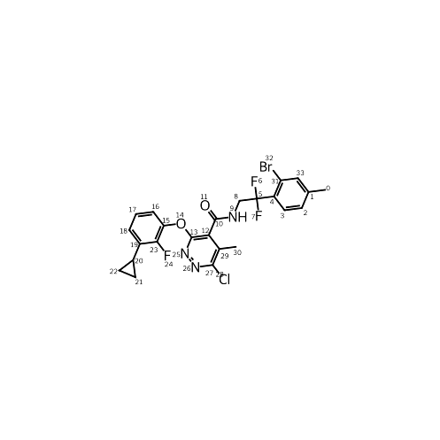 Cc1ccc(C(F)(F)CNC(=O)c2c(Oc3cccc(C4CC4)c3F)nnc(Cl)c2C)c(Br)c1